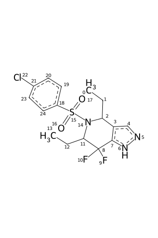 CCC1c2cn[nH]c2C(F)(F)C(CC)N1S(=O)(=O)c1ccc(Cl)cc1